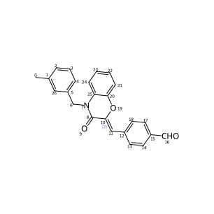 Cc1cccc(CN2C(=O)/C(=C/c3ccc(C=O)cc3)Oc3ccccc32)c1